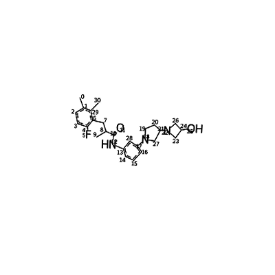 Cc1ccc(F)c(CC(C)C(=O)Nc2cccc(N3CCC(N4CC(O)C4)C3)c2)c1C